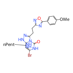 CCCCCC1NC2=C(Br)NC(=O)N3C(CCc4noc(-c5ccc(OC)cc5)n4)=NNC23N1